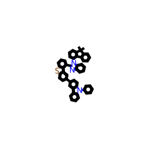 CC1(C)c2ccccc2-c2c(-n3c(-c4cccc5sc6ccc(-c7ccc8c(c7)c7ccccc7n8-c7ccccc7)cc6c45)nc4ccccc43)cccc21